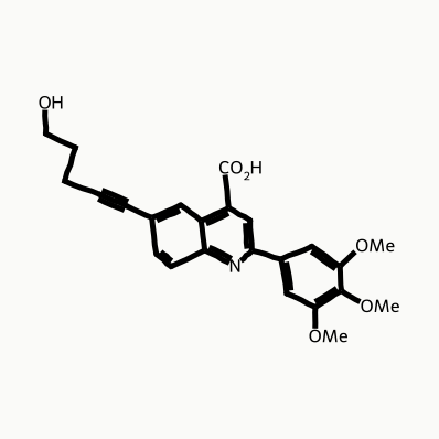 COc1cc(-c2cc(C(=O)O)c3cc(C#CCCCO)ccc3n2)cc(OC)c1OC